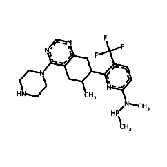 CPN(C)c1ccc(C(F)(F)F)c(C2Cc3ncnc(N4CCNCC4)c3CC2C)n1